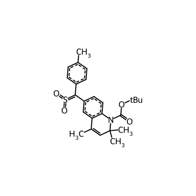 CC1=CC(C)(C)N(C(=O)OC(C)(C)C)c2ccc(C(c3ccc(C)cc3)=S(=O)=O)cc21